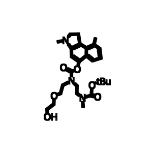 Cc1cccc2c(OC(=O)N(CCOCCO)CCN(C)C(=O)OC(C)(C)C)cc3c(c12)CCN3C